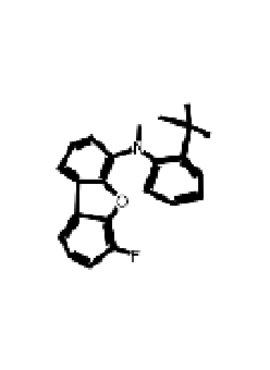 CN(c1ccccc1C(C)(C)C)c1cccc2c1oc1c(F)cccc12